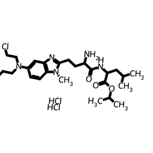 CC(C)CC(NC(=O)C(N)CCc1nc2cc(N(CCCl)CCCl)ccc2n1C)C(=O)OC(C)C.Cl.Cl